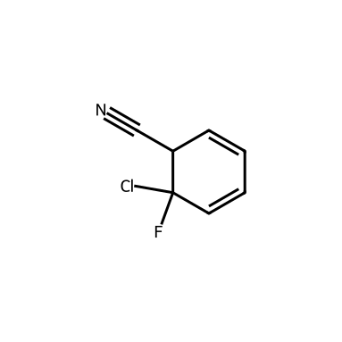 N#CC1C=CC=CC1(F)Cl